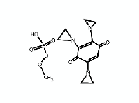 COOS(=O)(=O)O.O=C1C=C(N2CC2)C(=O)C(N2CC2)=C1N1CC1